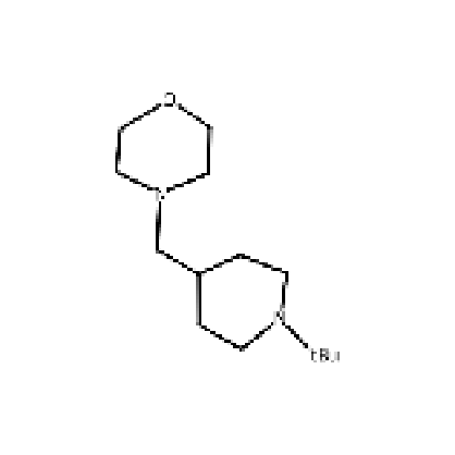 CC(C)(C)N1CCC(CN2CCOCC2)CC1